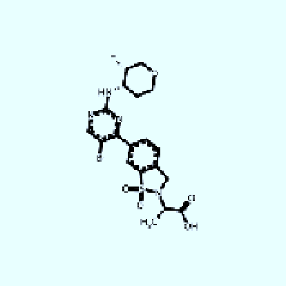 C[C@H](C(=O)O)N1Cc2ccc(-c3nc(N[C@H]4CCOC[C@H]4F)ncc3Br)cc2S1(=O)=O